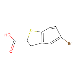 O=C(O)C1Cc2cc(Br)ccc2S1